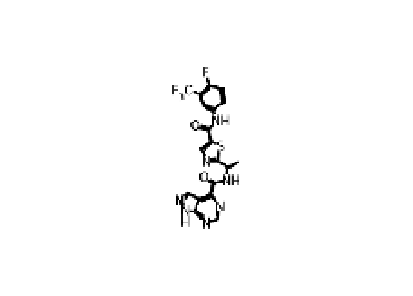 CC(NC(=O)c1ncnc2[nH]ncc12)c1ncc(C(=O)Nc2ccc(F)c(C(F)(F)F)c2)s1